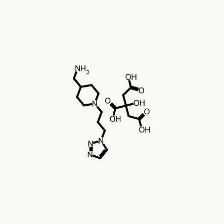 NCC1CCN(CCCn2ccnn2)CC1.O=C(O)CC(O)(CC(=O)O)C(=O)O